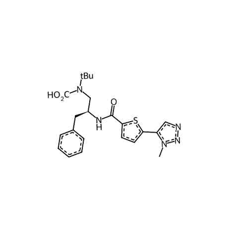 Cn1nncc1-c1ccc(C(=O)N[C@@H](Cc2ccccc2)CN(C(=O)O)C(C)(C)C)s1